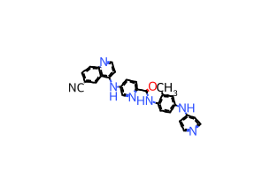 Cc1cc(Nc2ccncc2)ccc1NC(=O)c1ccc(Nc2ccnc3ccc(C#N)cc23)cn1